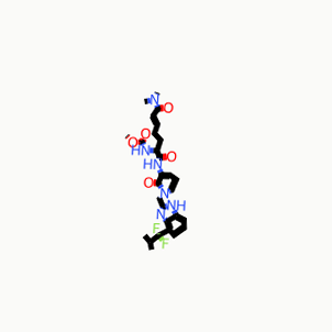 COC(=O)NC(CCC=CC(=O)N(C)C)C(=O)Nc1cccn(Cc2nc3c(C(F)(F)C(C)C)cccc3[nH]2)c1=O